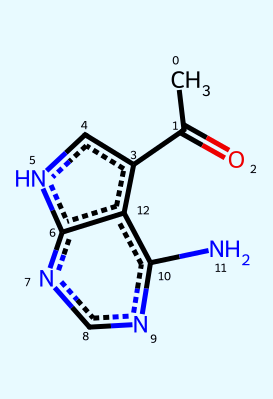 CC(=O)c1c[nH]c2ncnc(N)c12